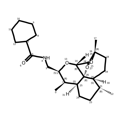 C[C@H]1[C@@H](CNC(=O)C2CCCCC2)O[C@@H]2O[C@@]3(C)CC[C@H]4[C@H](C)CC[C@@H]1[C@@]24OO3